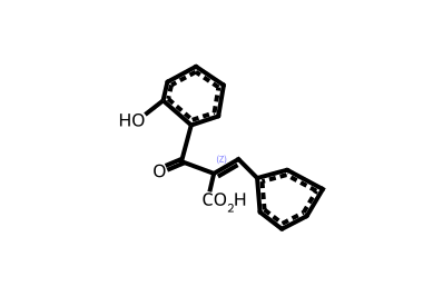 O=C(O)/C(=C\c1ccccc1)C(=O)c1ccccc1O